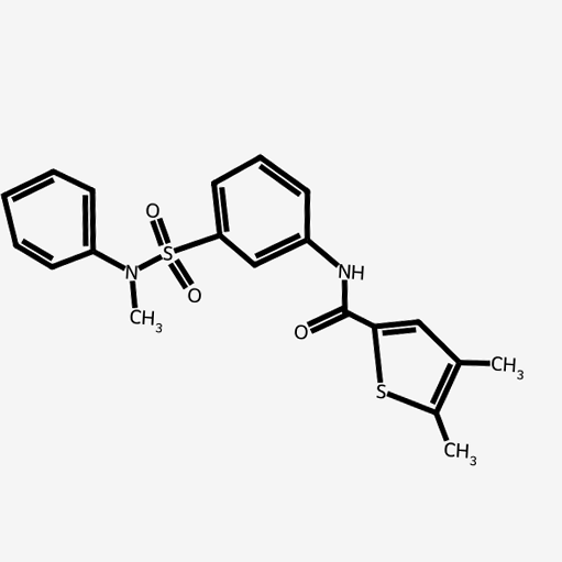 Cc1cc(C(=O)Nc2cccc(S(=O)(=O)N(C)c3ccccc3)c2)sc1C